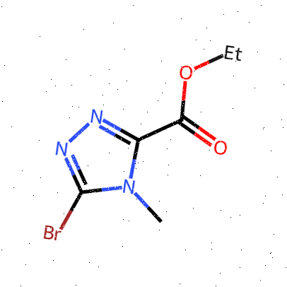 CCOC(=O)c1nnc(Br)n1C